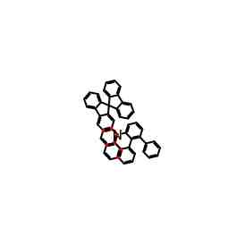 c1ccc(-c2ccccc2-c2c(-c3ccccc3)cccc2N(c2ccccc2)c2ccc3c(c2)C2(c4ccccc4-c4ccccc42)c2ccccc2-3)cc1